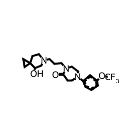 O=C1CCN(c2cccc(OC(F)(F)F)c2)CCN1CCCN1CCC2(CC2)C(O)C1